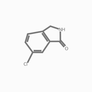 O=C1NCc2ccc(Cl)cc21